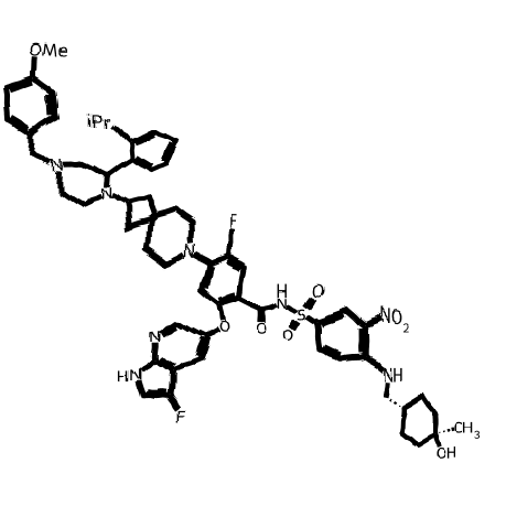 COc1ccc(CN2CCN(C3CC4(CCN(c5cc(Oc6cnc7[nH]cc(F)c7c6)c(C(=O)NS(=O)(=O)c6ccc(NC[C@H]7CC[C@](C)(O)CC7)c([N+](=O)[O-])c6)cc5F)CC4)C3)C(c3ccccc3C(C)C)C2)cc1